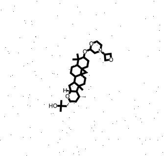 C[C@@H]1C[C@H](CC(C)(C)O)O[C@@H]2CC3C4CCC5C(C)(C)C(OC6CN(C7COC7)CCO6)CCC56CC46CCC3(C)C12